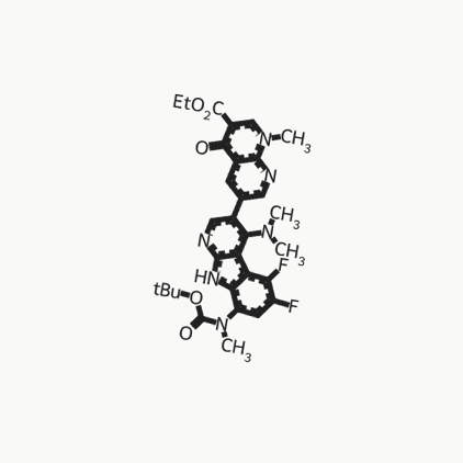 CCOC(=O)c1cn(C)c2ncc(-c3cnc4[nH]c5c(N(C)C(=O)OC(C)(C)C)cc(F)c(F)c5c4c3N(C)C)cc2c1=O